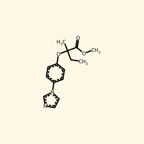 CCC(C)(Oc1ccc(-n2ccnc2)cc1)C(=O)OC